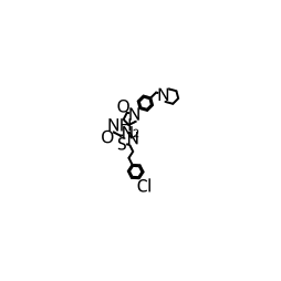 NC(=O)C1SC(CCc2ccc(Cl)cc2)=NN1[C@H]1CC(=O)N(c2ccc(CN3CCCCC3)cc2)C1